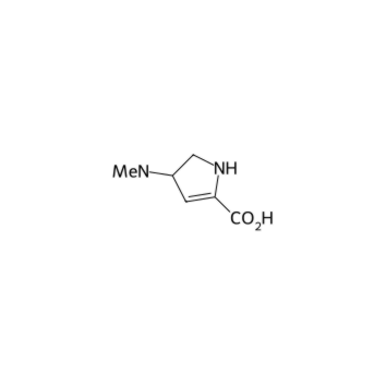 CNC1C=C(C(=O)O)NC1